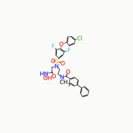 CN(CCN(CC(=O)NO)S(=O)(=O)c1cc(F)c(Oc2ccc(Cl)cc2)c(F)c1)C(=O)c1ccc(-c2ccccc2)cc1